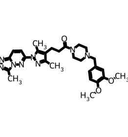 COc1ccc(CN2CCN(C(=O)CCc3c(C)nn(-c4ccc5nnc(C)n5n4)c3C)CC2)cc1OC